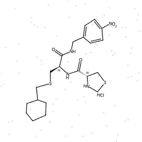 Cl.O=C(N[C@@H](CSCC1CCCCC1)C(=O)NCc1ccc([N+](=O)[O-])cc1)[C@@H]1CSCN1